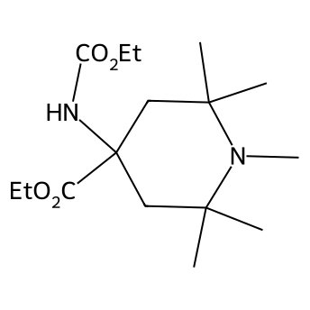 CCOC(=O)NC1(C(=O)OCC)CC(C)(C)N(C)C(C)(C)C1